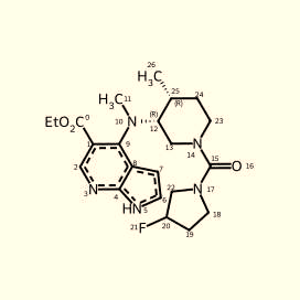 CCOC(=O)c1cnc2[nH]ccc2c1N(C)[C@H]1CN(C(=O)N2CCC(F)C2)CC[C@H]1C